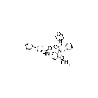 COc1ccc(NC(=O)c2ccc(-c3ccccc3)cc2)cc1N(Cc1ccccc1)C(=O)CN1CCOCC1